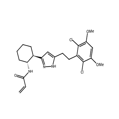 C=CC(=O)N[C@@H]1CCCC[C@H]1c1cc(CCc2c(Cl)c(OC)cc(OC)c2Cl)[nH]n1